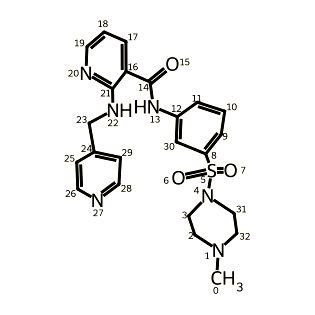 CN1CCN(S(=O)(=O)c2cccc(NC(=O)c3cccnc3NCc3ccncc3)c2)CC1